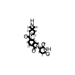 O=C1CCC(N2Cc3cc(C(=O)N4CCC5(CNC5)C4)ccc3C2=O)C(=O)N1